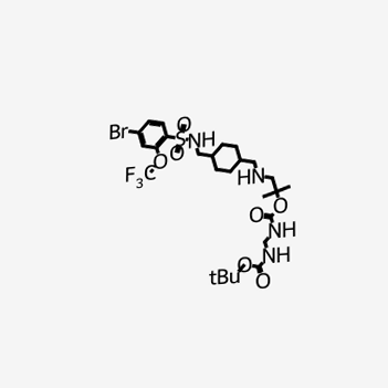 CC(C)(C)OC(=O)NCNC(=O)OC(C)(C)CNCC1CCC(CNS(=O)(=O)c2ccc(Br)cc2OC(F)(F)F)CC1